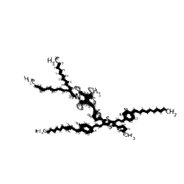 CCCCCCCCCCc1ccc(CCc2c(-c3ccc(C)s3)sc3c(CCc4ccc(CCCCCCCCCC)cc4)c(-c4ccc(-c5sc(C)c6c5C(=O)N(CC(CCCCCCCC)CCCCCCCCCC)C6=O)s4)sc23)cc1